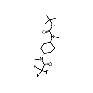 CN(C(=O)OC(C)(C)C)[C@H]1CC[C@H](N(C)C(=O)C(F)(F)F)CC1